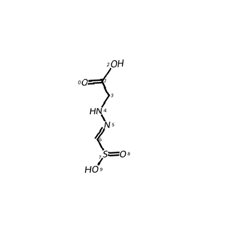 O=C(O)CNN=CS(=O)O